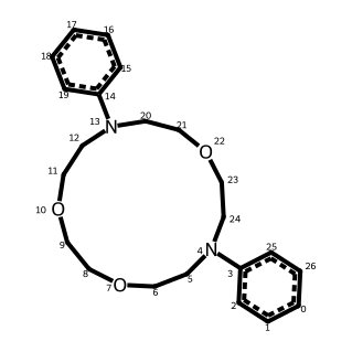 c1ccc(N2CCOCCOCCN(c3ccccc3)CCOCC2)cc1